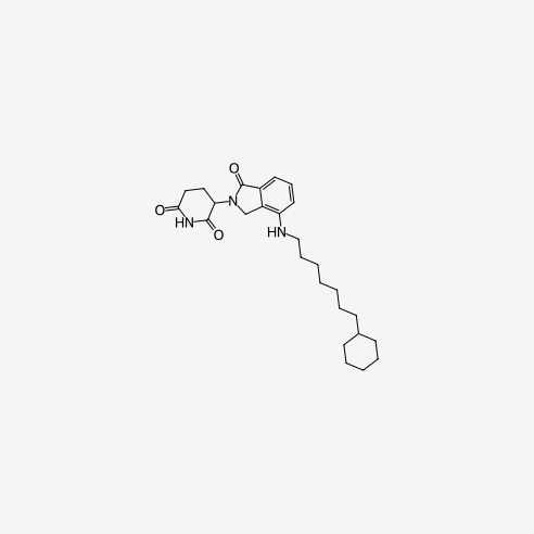 O=C1CCC(N2Cc3c(NCCCCCCCC4CCCCC4)cccc3C2=O)C(=O)N1